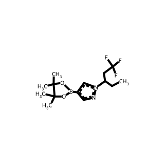 CCC(CC(F)(F)F)n1cc(B2OC(C)(C)C(C)(C)O2)cn1